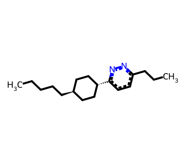 CCCCC[C@H]1CC[C@H](c2ccc(CCC)nn2)CC1